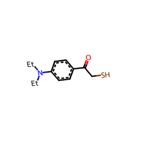 CCN(CC)c1ccc(C(=O)CS)cc1